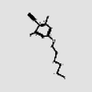 C#Cc1c(C)cc(OCCCCCC)cc1C